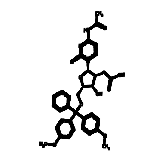 COc1ccc(C(OC[C@H]2O[C@@H](n3ccc(NC(C)=O)nc3=O)[C@@H](CC(=O)O)[C@H]2O)(c2ccccc2)c2ccc(OC)cc2)cc1